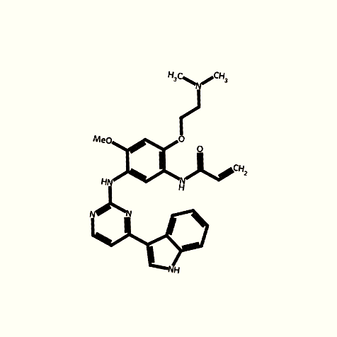 C=CC(=O)Nc1cc(Nc2nccc(-c3c[nH]c4ccccc34)n2)c(OC)cc1OCCN(C)C